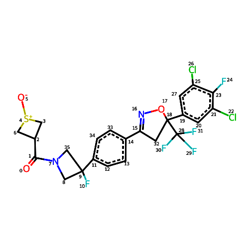 O=C(C1C[S+]([O-])C1)N1CC(F)(c2ccc(C3=NOC(c4cc(Cl)c(F)c(Cl)c4)(C(F)(F)F)C3)cc2)C1